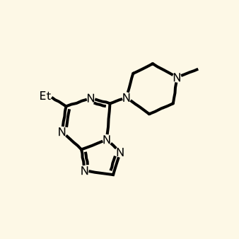 CCc1nc(N2CCN(C)CC2)n2ncnc2n1